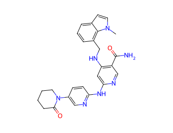 Cn1ccc2cccc(CNc3cc(Nc4ccc(N5CCCCC5=O)cn4)ncc3C(N)=O)c21